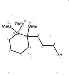 COC1(CCCS)CCCC[Si]1(OC)OC